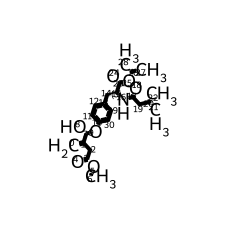 C=C(CC(=O)OC)C(O)Oc1ccc(C[C@H](NC(=O)CC(C)C)C(=O)OC(C)C)cc1